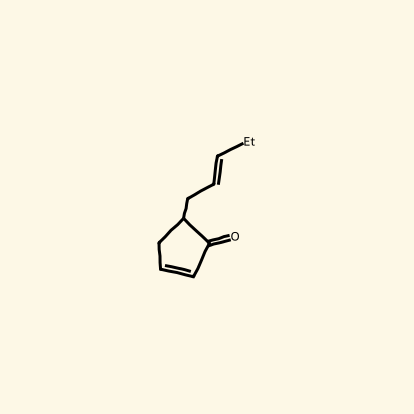 CCC=CCC1CC=CC1=O